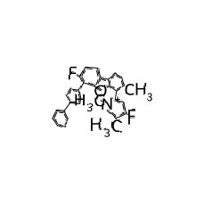 Cc1c[n+](C)c(-c2c(C)ccc3c2oc2c(-c4ccc(-c5ccccc5)cc4)c(F)ccc23)cc1F